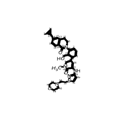 Cn1cc(-c2cccc(N3CCc4cc(C5CC5)ccc4C3=O)c2CO)cc(Nc2ccn(CCN3CCOCC3)n2)c1=O